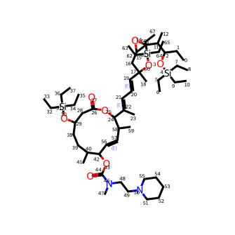 CCC(O[Si](CC)(CC)CC)C(C)C1OC1CC(C)(/C=C/C=C(\C)C1OC(=O)CC(O[Si](CC)(CC)CC)CCC(C)C(OC(=O)N(C)CCN2CCCCC2)/C=C/C1C)O[Si](CC)(CC)CC